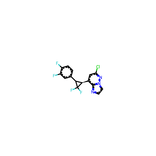 Fc1ccc(C2[C@@H](c3cc(Cl)nn4ccnc34)C2(F)F)cc1F